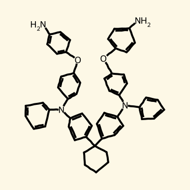 Nc1ccc(Oc2ccc(N(c3ccccc3)c3ccc(C4(c5ccc(N(c6ccccc6)c6ccc(Oc7ccc(N)cc7)cc6)cc5)CCCCC4)cc3)cc2)cc1